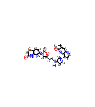 COc1ccc2nccc(N3CC[C@H](NCC[C@@H]4CN(c5ccc6c(c5)NC(=O)CS6)C(=O)O4)C3)c2n1